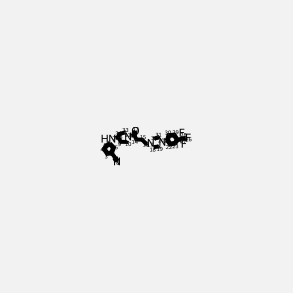 N#Cc1cccc(NC2CCN(C(=O)CCCN3CCN(c4ccc(C(F)(F)F)cc4)CC3)CC2)c1